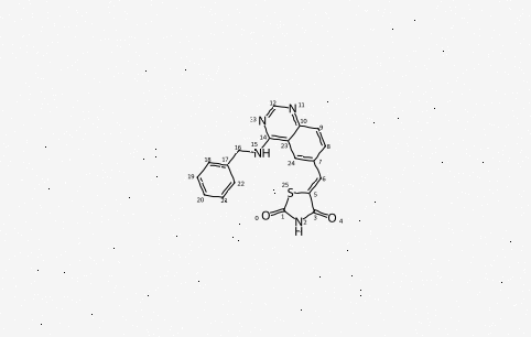 O=C1NC(=O)C(=Cc2ccc3ncnc(NCc4ccccc4)c3c2)S1